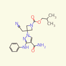 CC(C)COC(=O)N1CC(CC#N)(n2cc(C(N)=O)c(Nc3ccccc3)n2)C1